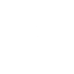 CC(C)C(C)B(Cc1ccccc1)C(C)C(C)C